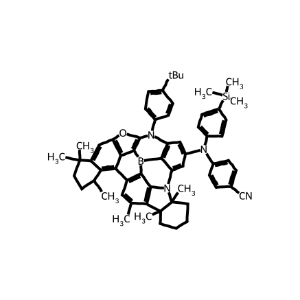 Cc1cc2c3c4c1C1(C)CCCCC1(C)N4c1cc(N(c4ccc(C#N)cc4)c4ccc([Si](C)(C)C)cc4)cc4c1B3c1c(oc3cc5c(c-2c13)C(C)CCC5(C)C)N4c1ccc(C(C)(C)C)cc1